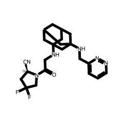 N#C[C@@H]1CC(F)(F)CN1C(=O)CNC12CC3CC(C1)CC(NCc1cccnn1)(C3)C2